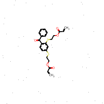 C=CC(=O)OCCSc1ccc(C(=O)c2ccccc2)c(SCCOC(=O)C=C)c1